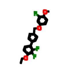 CCOc1ccc(-c2ccc(COc3ccc(OC)c(F)c3)cc2)c(F)c1F